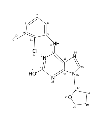 Oc1nc(Nc2cccc(Cl)c2Cl)c2ncn(C3CCCO3)c2n1